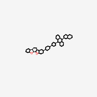 C1=CC2c3ccccc3OC2c2oc3ccc(-c4ccc(-c5ccc(-c6c7ccccc7c(-c7ccc8ccccc8c7)c7ccccc67)cc5)cc4)cc3c21